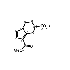 COC(=O)c1ccn2c1CN(C(=O)O)CC2